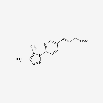 COCC=Cc1ccc(-n2ncc(C(=O)O)c2C)nc1